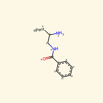 CCCCCC(N)CNC(=O)c1ccccc1